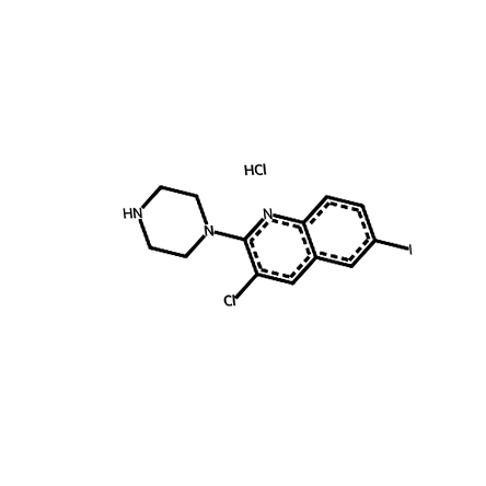 Cl.Clc1cc2cc(I)ccc2nc1N1CCNCC1